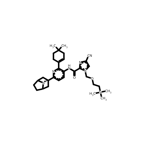 CC(C)N1C2CCC1CC(c1ccc(NC(=O)c3nc(C#N)cn3COCC[Si](C)(C)C)c(C3=CCC(C)(C)CC3)n1)C2